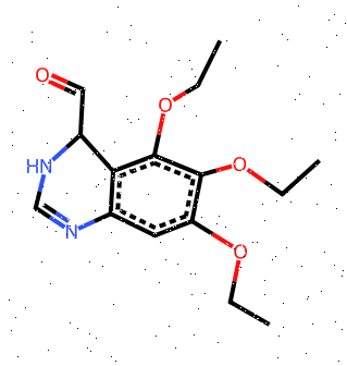 CCOc1cc2c(c(OCC)c1OCC)C(C=O)NC=N2